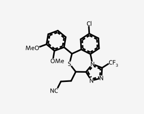 COc1cccc(C2SC(CCC#N)c3nnc(C(F)(F)F)n3-c3ccc(Cl)cc32)c1OC